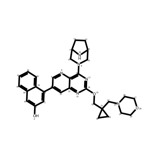 Oc1cc(-c2cnc3c(N4CC5CCC(C4)N5)nc(OCC4(CN5CCOCC5)CC4)nc3c2)c2ccccc2c1